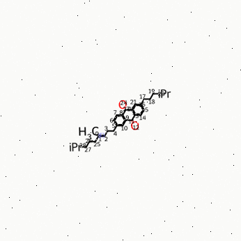 C/C(=C\CCc1ccc2c(c1)C(=O)c1ccc(CCCC(C)C)cc1C2=O)CCCC(C)C